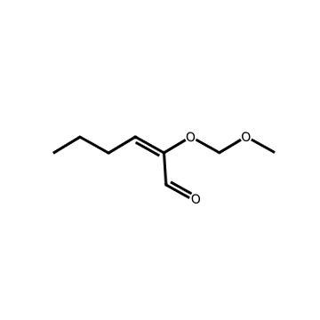 CCC/C=C(\C=O)OCOC